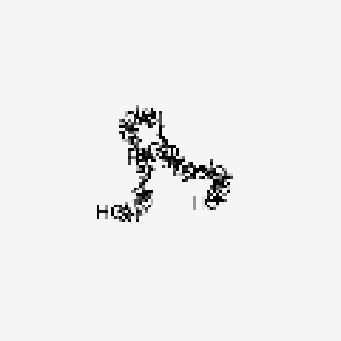 C[SiH](C)O[Si](C)(C)O[Si](C)(C)O[Si](C)(C)CCC[Si](C)(O[Si](C)(C)O[Si](C)(C)CC[Si](C)(C)O[Si](C)(C)O[Si](C)(C)O)O[Si](C)(C)O[Si](C)(C)CC[Si](C)(C)O[Si](C)(C)O[Si](C)(C)O